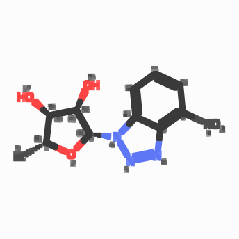 CC[C@H]1O[C@@H](n2nnc3c([N+](=O)[O-])cccc32)[C@H](O)[C@@H]1O